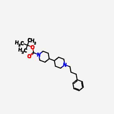 CC(C)(C)OC(=O)N1CCC(C2CCN(CCCc3ccccc3)CC2)CC1